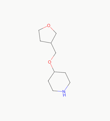 C1CC(OCC2CCOC2)CCN1